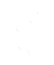 Cn1c(=O)[nH]c2c(cnn2C)c1=O